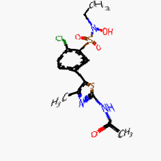 CCN(O)S(=O)(=O)c1cc(-c2sc(NC(C)=O)nc2C)ccc1Cl